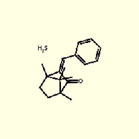 CC12CCC(C)(C(=Cc3ccccc3)C1=O)C2(C)C.S